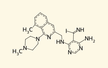 Cc1cccc2cc(CNc3ncnc(N)c3C(=N)I)nc(N3CCN(C)CC3)c12